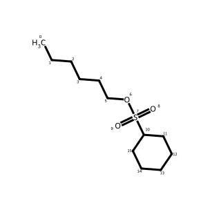 CCCCCCOS(=O)(=O)C1CCCCC1